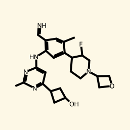 Cc1nc(Nc2cc(C3CCN(C4COC4)CC3F)c(C)cc2C=N)cc(C2CC(O)C2)n1